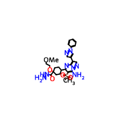 COCCOC1(C(=O)NN)CCC(c2nc3c(-c4cnn(-c5ccccc5)c4)cnn3c(N)c2S(C)(=O)=O)CC1